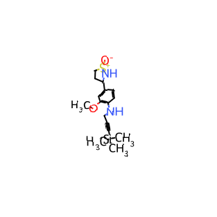 COc1cc(C2CC[S+]([O-])N2)ccc1NCC#C[Si](C)(C)C